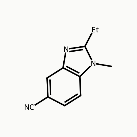 CCc1nc2cc(C#N)ccc2n1C